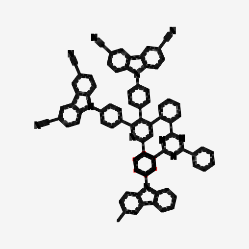 Cc1ccc2c(c1)c1ccccc1n2-c1ccc(-c2cc(-c3ccccc3-c3nc(-c4ccccc4)nc(-c4ccccc4)n3)c(-c3ccc(-n4c5ccc(C#N)cc5c5cc(C#N)ccc54)cc3)c(-c3ccc(-n4c5ccc(C#N)cc5c5cc(C#N)ccc54)cc3)n2)cc1